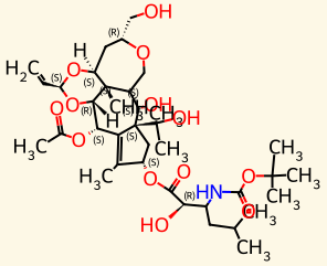 C=C[C@H]1O[C@H]2C[C@H](CO)OC[C@H]3[C@H](O)[C@]4(C(C)(C)O)C[C@H](OC(=O)[C@H](O)C(CC(C)C)NC(=O)OC(C)(C)C)C(C)=C4[C@H](OC(C)=O)[C@H](O1)[C@]23C